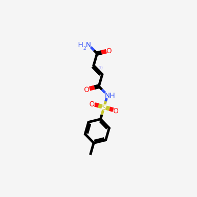 Cc1ccc(S(=O)(=O)NC(=O)/C=C/C(N)=O)cc1